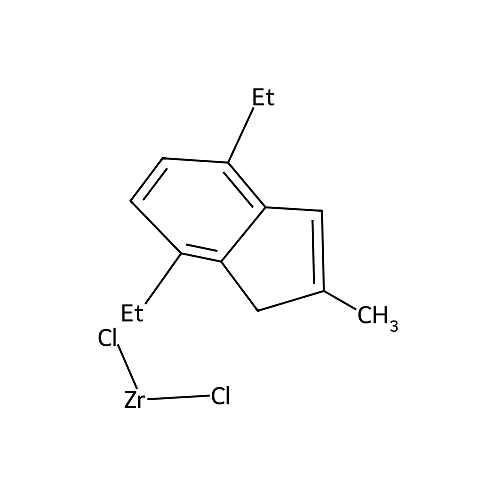 CCc1ccc(CC)c2c1C=C(C)C2.[Cl][Zr][Cl]